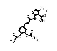 CC(=O)Oc1ccc(C=CC(=O)Nc2scc(C)c2C(=O)O)cc1OC(C)=O